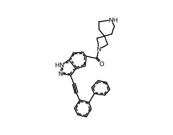 O=C(c1ccc2[nH]nc(C#Cc3ccccc3-c3ccccc3)c2c1)N1CC2(CCNCC2)C1